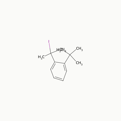 CC(C)(C)c1ccccc1C(C)(C)I